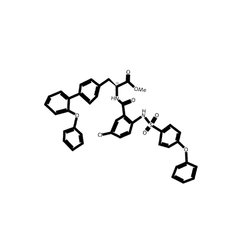 COC(=O)[C@H](Cc1ccc(-c2ccccc2Oc2ccccc2)cc1)NC(=O)c1cc(Cl)ccc1NS(=O)(=O)c1ccc(Oc2ccccc2)cc1